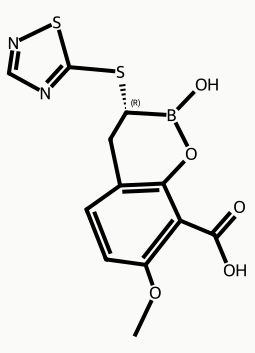 COc1ccc2c(c1C(=O)O)OB(O)[C@@H](Sc1ncns1)C2